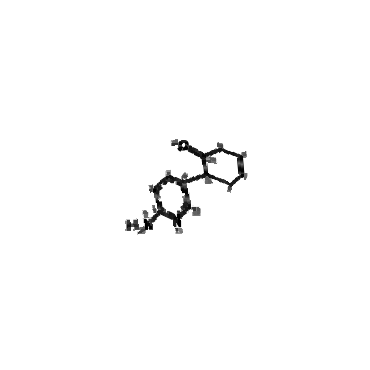 Nc1ccc(C2CC=CCC2=O)cn1